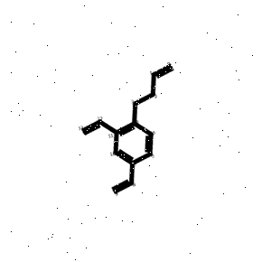 C=CCCc1ccc(C=C)cc1C=C